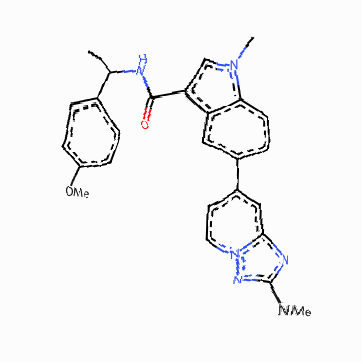 CNc1nc2cc(-c3ccc4c(c3)c(C(=O)NC(C)c3ccc(OC)cc3)cn4C)ccn2n1